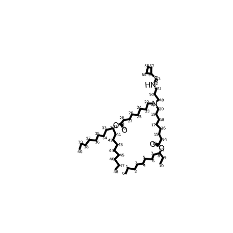 CCCCCCCCC(CC)OC(=O)CCCCCCCN(CCCCCCCC(=O)OC(CCCCCCCC)CCCCCCCC)CCCNSC1CCC1